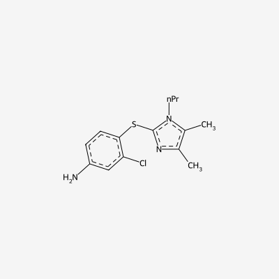 CCCn1c(Sc2ccc(N)cc2Cl)nc(C)c1C